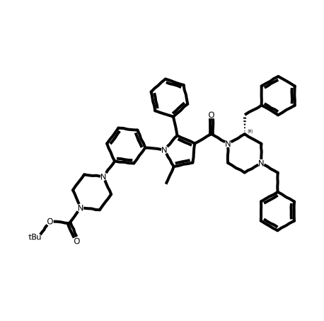 Cc1cc(C(=O)N2CCN(Cc3ccccc3)C[C@H]2Cc2ccccc2)c(-c2ccccc2)n1-c1cccc(N2CCN(C(=O)OC(C)(C)C)CC2)c1